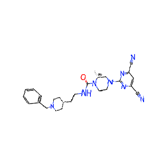 C[C@@H]1CN(c2nc(C#N)cc(C#N)n2)CCN1C(=O)NCCC1CCN(Cc2ccccc2)CC1